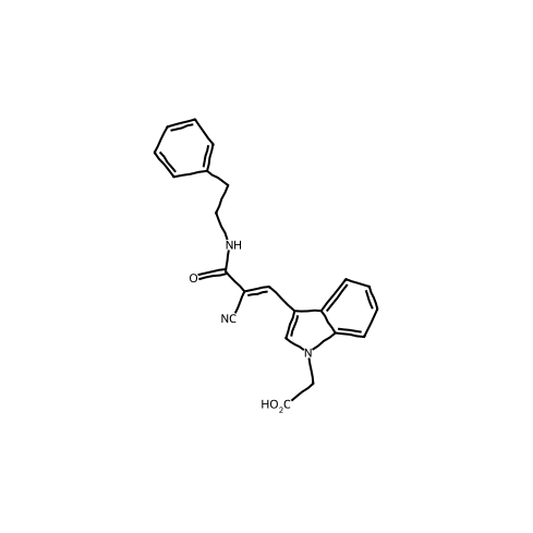 N#C/C(=C\c1cn(CC(=O)O)c2ccccc12)C(=O)NCCc1ccccc1